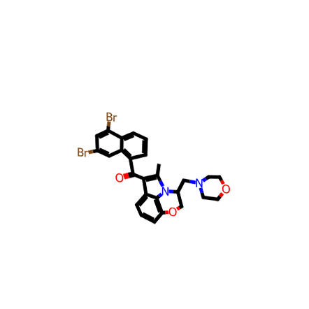 Cc1c(C(=O)c2cccc3c(Br)cc(Br)cc23)c2cccc3c2n1C(CN1CCOCC1)CO3